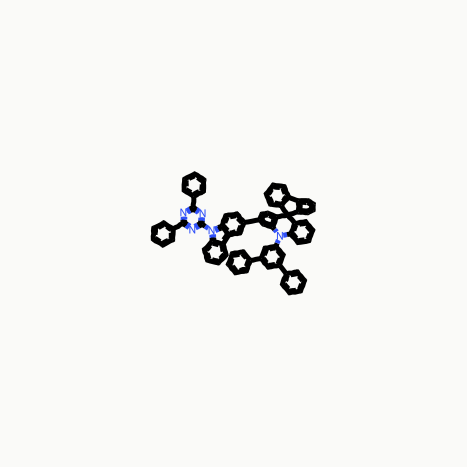 c1ccc(-c2cc(-c3ccccc3)cc(N3c4ccccc4C4(c5ccccc5-c5ccccc54)c4ccc(-c5ccc6c(c5)c5ccccc5n6-c5nc(-c6ccccc6)nc(-c6ccccc6)n5)cc43)c2)cc1